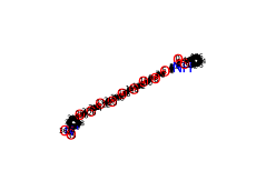 O=C(NCCOCCOCCOCCOCCOCCOCCOCCOCCOc1ccc([N+](=O)[O-])cc1)OCc1ccccc1